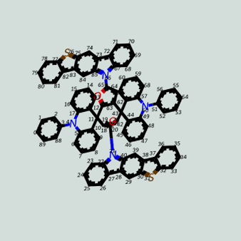 c1ccc(N2c3ccccc3C3(c4ccccc42)c2cc(-n4c5ccccc5c5cc6sc7ccccc7c6cc54)oc2C2(c4ccccc4N(c4ccccc4)c4ccccc42)c2cc(-n4c5ccccc5c5cc6sc7ccccc7c6cc54)oc23)cc1